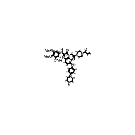 C=CC(=O)N1CCN(C(=O)Cn2c(=O)c(Nc3cc(OC)c(OC)c(OC)c3)nc3ccc(Nc4ccc(N5CCN(C)CC5)cc4)nc32)CC1